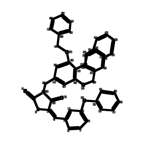 O=C1SC(=Cc2cccc(Oc3ccccc3)c2)C(=O)N1Cc1cc(OCc2ccccc2)c(OCc2ccccc2)c(OCc2ccccc2)c1